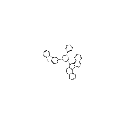 c1ccc(-c2cc(-c3ccc4sc5ccccc5c4c3)cc(-n3c4ccc5ccccc5c4c4ccc5ccccc5c43)c2)cc1